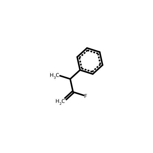 C=C(F)C(C)c1ccccc1